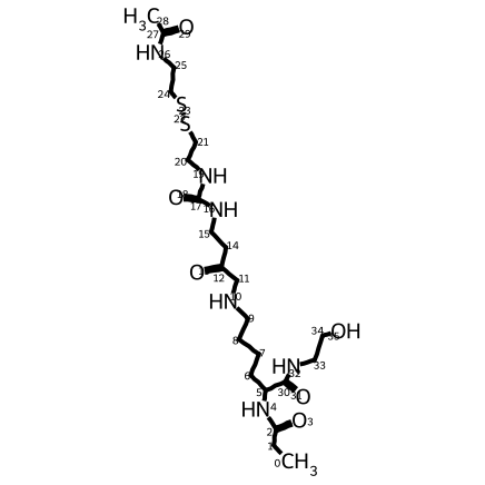 CCC(=O)NC(CCCCNCC(=O)CCNC(=O)NCCSSCCNC(C)=O)C(=O)NCCO